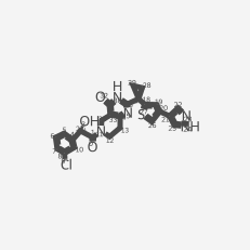 O=C([C@H](O)c1cccc(Cl)c1)N1CCc2nc(C3(c4cc(-c5cn[nH]c5)cs4)CC3)[nH]c(=O)c2C1